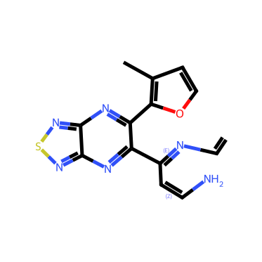 C=C/N=C(\C=C/N)c1nc2nsnc2nc1-c1occc1C